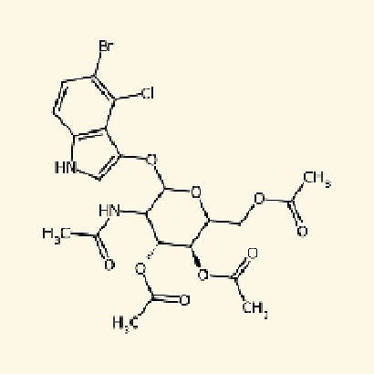 CC(=O)NC1C(Oc2c[nH]c3ccc(Br)c(Cl)c23)OC(COC(C)=O)[C@@H](OC(C)=O)[C@@H]1OC(C)=O